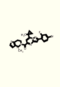 C[C@@H]1c2ccsc2CCN1C(=O)c1cc(C2(C)CC2)n2nc(-c3ccc(Br)cc3F)cc2n1